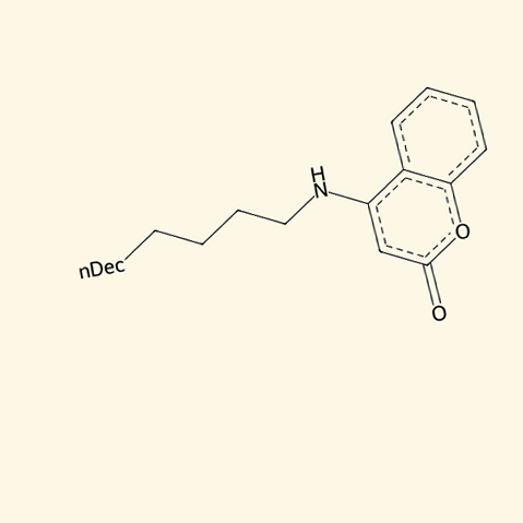 CCCCCCCCCCCCCCNc1cc(=O)oc2ccccc12